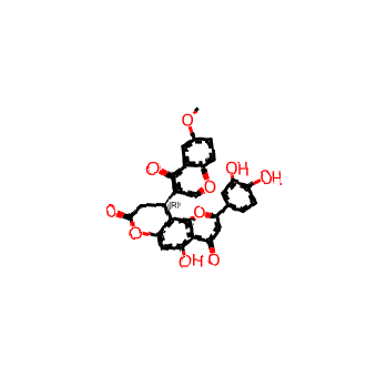 COc1ccc2occ([C@@H]3CC(=O)Oc4cc(O)c5c(=O)cc(-c6ccc(O)c(O)c6)oc5c43)c(=O)c2c1